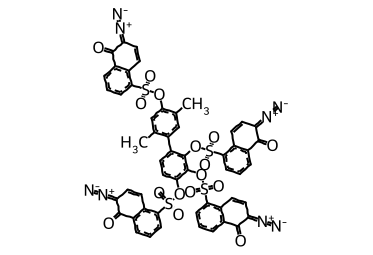 Cc1cc(-c2ccc(OS(=O)(=O)c3cccc4c3C=CC(=[N+]=[N-])C4=O)c(OS(=O)(=O)c3cccc4c3C=CC(=[N+]=[N-])C4=O)c2OS(=O)(=O)c2cccc3c2C=CC(=[N+]=[N-])C3=O)c(C)cc1OS(=O)(=O)c1cccc2c1C=CC(=[N+]=[N-])C2=O